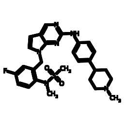 CN1CCC(c2ccc(Nc3ncc4ccn(Cc5cc(F)ccc5N(C)S(C)(=O)=O)c4n3)cc2)CC1